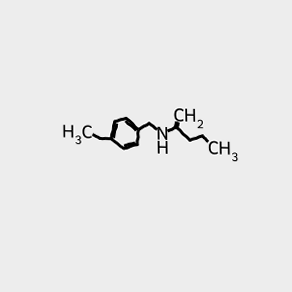 C=C(CCC)NCc1ccc(CC)cc1